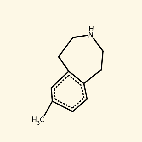 Cc1ccc2c(c1)CCNCC2